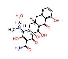 CN(C)[C@@H]1C(O)=C(C(N)=O)C(=O)[C@@]2(O)C(O)=C3C(=O)c4c(O)cccc4C[C@H]3C[C@H]12.O